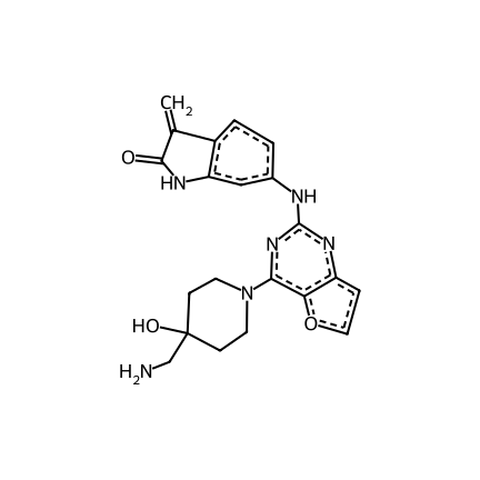 C=C1C(=O)Nc2cc(Nc3nc(N4CCC(O)(CN)CC4)c4occc4n3)ccc21